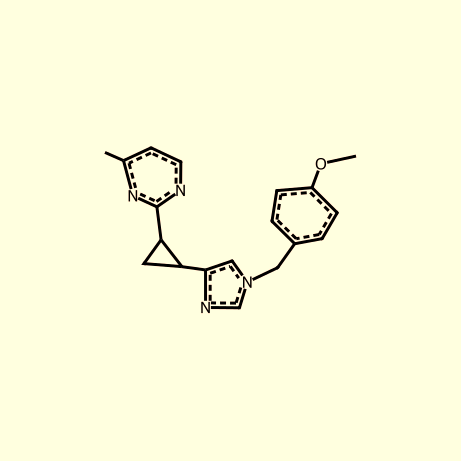 COc1ccc(Cn2cnc(C3CC3c3nccc(C)n3)c2)cc1